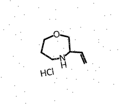 C=CC1COCCCN1.Cl